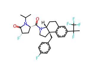 CC(C)N1C(=O)[C@@H](F)C[C@H]1C(=O)N1CC[C@@]2(Cc3ccc(F)cc3)c3ccc(C(C)(F)C(F)(F)F)cc3CC[C@@H]12